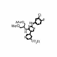 CCOC(=O)c1cncc(-c2cnc(Nc3ccc(F)c(Cl)c3)nc2NC(COC)COC)c1